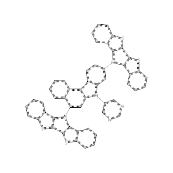 c1ccc2c(c1)sc1c3sc4ccccc4c3n(-c3ccc4c5c6ccccc6c(-n6c7c8ccccc8sc7c7sc8ccccc8c76)cc5n(-c5cncnc5)c4c3)c21